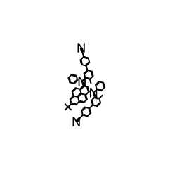 Cc1ccc(-c2ccc(C#N)cc2)cc1N(c1ccccc1)c1cc(N(c2ccccc2)c2cc(-c3ccc(C#N)cc3)ccc2C)c2ccc3cc(C(C)(C)C)cc4ccc1c2c43